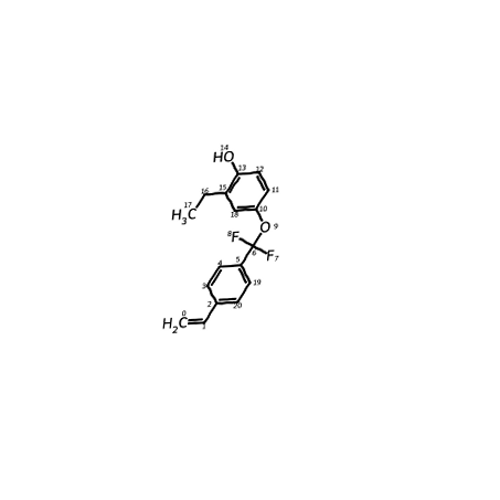 C=Cc1ccc(C(F)(F)Oc2ccc(O)c(CC)c2)cc1